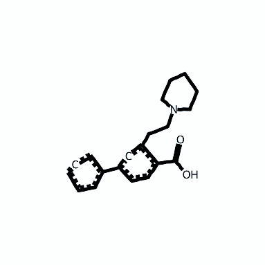 O=C(O)c1ccc(-c2ccccc2)cc1CCN1CCCCC1